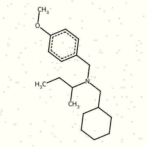 CCC(C)N(Cc1ccc(OC)cc1)CC1CCCCC1